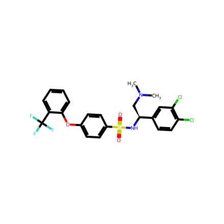 CN(C)C[C@H](NS(=O)(=O)c1ccc(Oc2ccccc2C(F)(F)F)cc1)c1ccc(Cl)c(Cl)c1